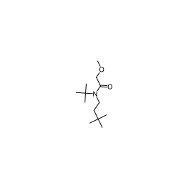 COCC(=O)N(CCC(C)(C)C)C(C)(C)C